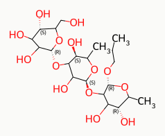 CCCO[C@@H]1OC(C)[C@H](O)C(O)C1O[C@@H]1OC(C)[C@H](O)C(O[C@H]2OC(CO)[C@@H](O)C(O)C2O)C1O